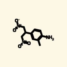 Cc1cc(C(C[N+](=O)[O-])C[N+](=O)[O-])ccc1N